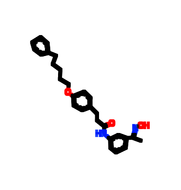 CC(=NO)c1cccc(NC(=O)CCc2ccc(OCCCCCc3ccccc3)cc2)c1